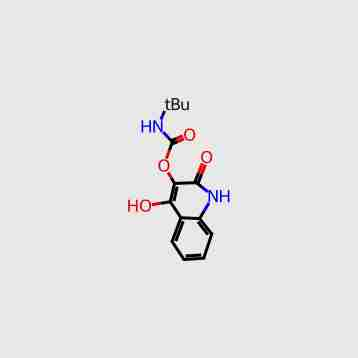 CC(C)(C)NC(=O)Oc1c(O)c2ccccc2[nH]c1=O